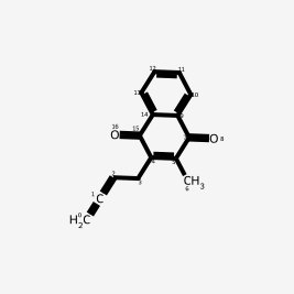 C=C=CCC1=C(C)C(=O)c2ccccc2C1=O